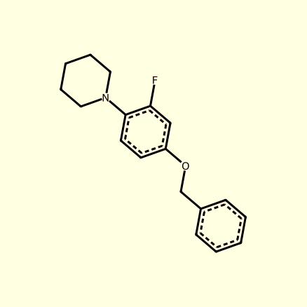 Fc1cc(OCc2ccccc2)ccc1N1CCCCC1